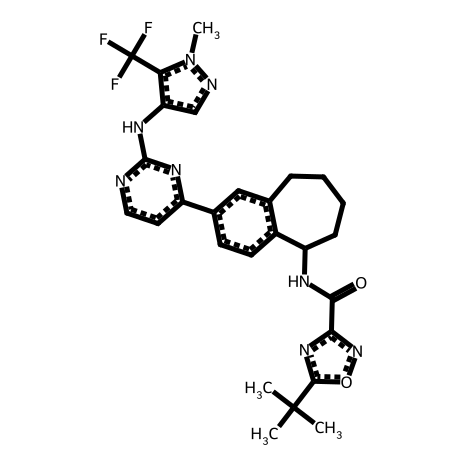 Cn1ncc(Nc2nccc(-c3ccc4c(c3)CCCCC4NC(=O)c3noc(C(C)(C)C)n3)n2)c1C(F)(F)F